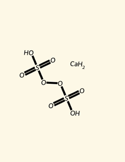 O=S(=O)(O)OOS(=O)(=O)O.[CaH2]